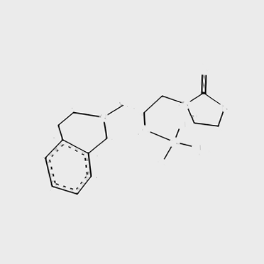 CC(C)(C)[Si](C)(C)O[C@H](CN1CCc2ccccc2C1)CN1CCNC1=O